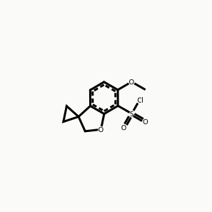 COc1ccc2c(c1S(=O)(=O)Cl)OCC21CC1